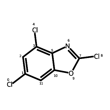 Clc1cc(Cl)c2nc(Cl)oc2c1